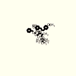 C=C(CO[Si](C)(C)C(C)(C)C)[C@@H]1[C@@H]([C@@H](C)OC(=O)OCc2ccccc2)C(=O)N1C(Cc1ccc(OC)cc1)Cc1ccc(OC)cc1